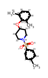 Cc1ccc(S(=O)(=O)N2CCC(Oc3c(C)cccc3C)CC2)cc1